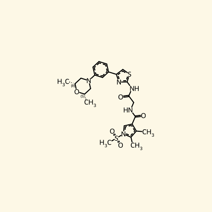 Cc1c(C(=O)NCC(=O)Nc2nc(-c3cccc(N4C[C@@H](C)O[C@@H](C)C4)c3)cs2)cn(S(C)(=O)=O)c1C